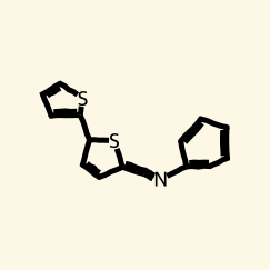 C(=Nc1ccccc1)=C1C=CC(c2cccs2)S1